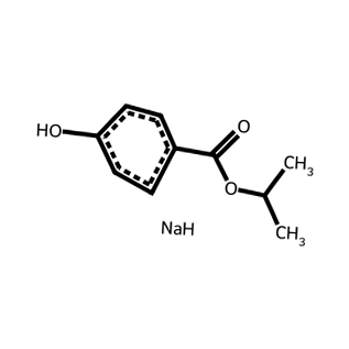 CC(C)OC(=O)c1ccc(O)cc1.[NaH]